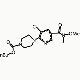 CCCCOC(=O)N1CCN(c2ncc(C(=O)N(C)OC)cc2Cl)CC1